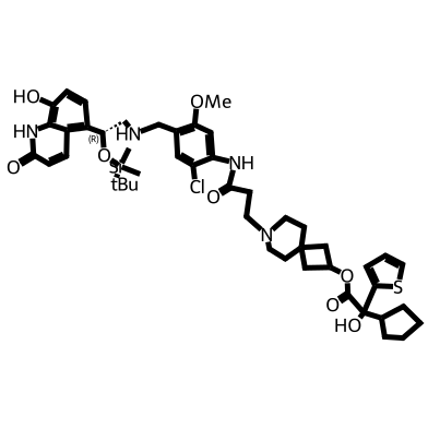 COc1cc(NC(=O)CCN2CCC3(CC2)CC(OC(=O)C(O)(c2cccs2)C2CCCC2)C3)c(Cl)cc1CNC[C@H](O[Si](C)(C)C(C)(C)C)c1ccc(O)c2[nH]c(=O)ccc12